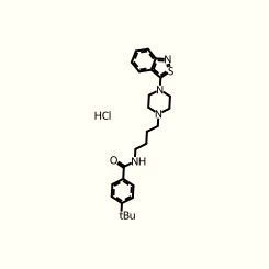 CC(C)(C)c1ccc(C(=O)NCCCCN2CCN(c3snc4ccccc34)CC2)cc1.Cl